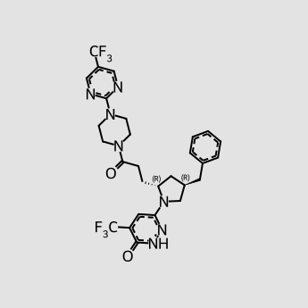 O=C(CC[C@@H]1C[C@@H](Cc2ccccc2)CN1c1cc(C(F)(F)F)c(=O)[nH]n1)N1CCN(c2ncc(C(F)(F)F)cn2)CC1